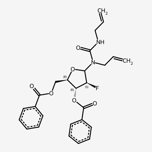 C=CCNC(=O)N(CC=C)C1O[C@H](COC(=O)c2ccccc2)[C@@H](OC(=O)c2ccccc2)[C@@H]1F